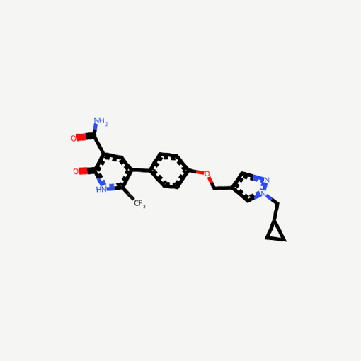 NC(=O)c1cc(-c2ccc(OCc3cnn(CC4CC4)c3)cc2)c(C(F)(F)F)[nH]c1=O